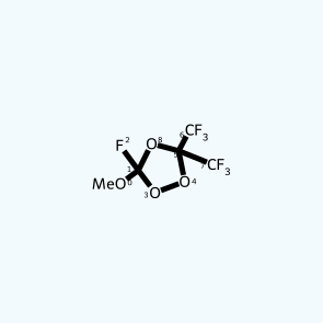 COC1(F)OOC(C(F)(F)F)(C(F)(F)F)O1